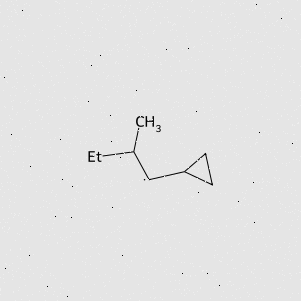 CCC(C)[CH]C1CC1